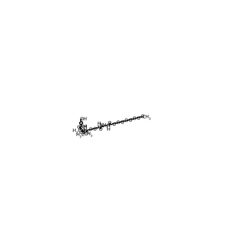 COCCOCCOCCOCCOCCOCCOCCOCCC(=O)NCCCC[C@H](N)C(=O)NCCOCCOCCC(=O)N[C@H](C(=O)N[C@@H](C)C(=O)Nc1ccc(CO)cc1)C(C)C